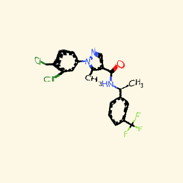 Cc1c(C(=O)N[C@@H](C)c2cccc(C(F)(F)F)c2)cnn1-c1ccc(Cl)c(Cl)c1